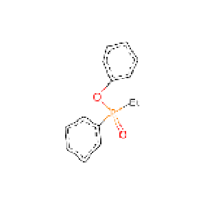 CCP(=O)(Oc1ccccc1)c1ccccc1